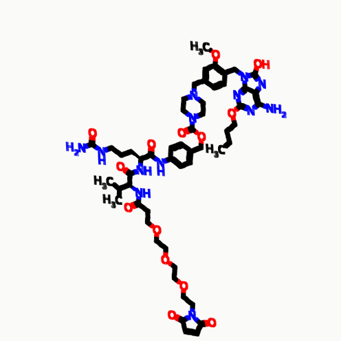 CCCCOc1nc(N)c2nc(O)n(Cc3ccc(CN4CCN(C(=O)OCc5ccc(NC(=O)[C@H](CCCNC(N)=O)NC(=O)[C@@H](NC(=O)CCOCCOCCOCCN6C(=O)C=CC6=O)C(C)C)cc5)CC4)cc3OC)c2n1